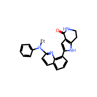 CCN(c1ccccc1)c1ccc2cccc(-c3cc4c([nH]3)CCNC4=O)c2n1